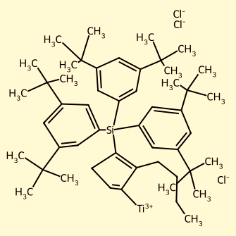 CCCCC1=C([Si](c2cc(C(C)(C)C)cc(C(C)(C)C)c2)(c2cc(C(C)(C)C)cc(C(C)(C)C)c2)c2cc(C(C)(C)C)cc(C(C)(C)C)c2)CC=[C]1[Ti+3].[Cl-].[Cl-].[Cl-]